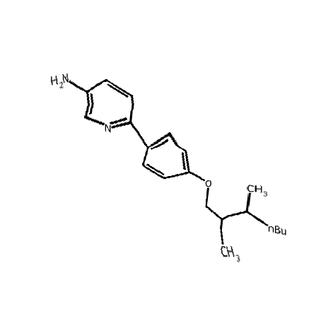 CCCCC(C)C(C)COc1ccc(-c2ccc(N)cn2)cc1